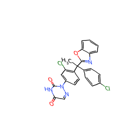 CC(c1ccc(Cl)cc1)(c1nc2ccccc2o1)c1ccc(-n2ncc(=O)[nH]c2=O)cc1Cl